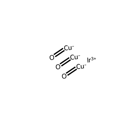 [Ir+3].[O]=[Cu-].[O]=[Cu-].[O]=[Cu-]